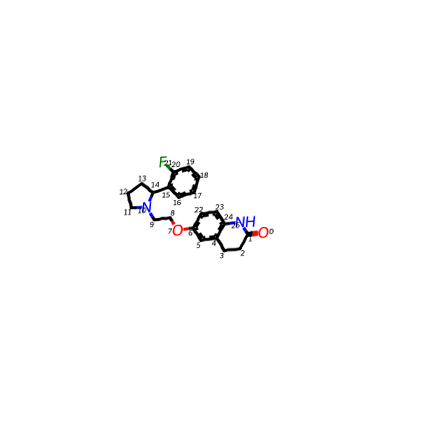 O=C1CCc2cc(OCCN3CCCC3c3ccccc3F)ccc2N1